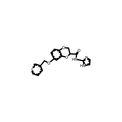 O=C(Nc1ncc[nH]1)C1COc2ccc(OCc3ccccc3)cc2O1